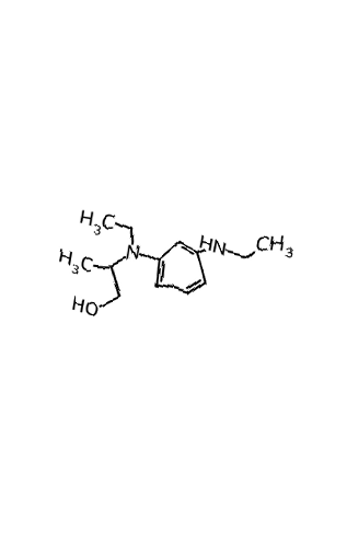 CCNc1cccc(N(CC)C(C)CO)c1